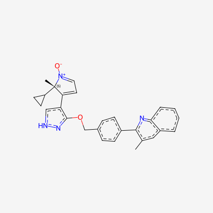 Cc1cc2ccccc2nc1-c1ccc(COc2n[nH]cc2C2=CC=[N+]([O-])[C@@]2(C)C2CC2)cc1